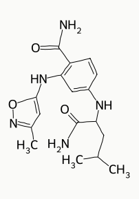 Cc1cc(Nc2cc(NC(CC(C)C)C(N)=O)ccc2C(N)=O)on1